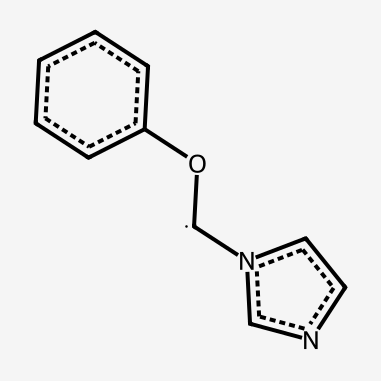 [CH](Oc1ccccc1)n1ccnc1